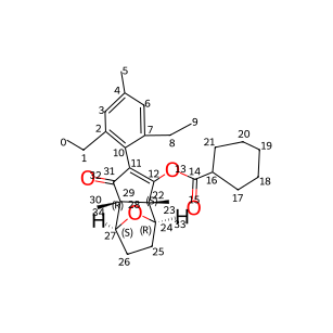 CCc1cc(C)cc(CC)c1C1=C(OC(=O)C2CCCCC2)[C@]2(C)[C@H]3CC[C@H](O3)[C@]2(C)C1=O